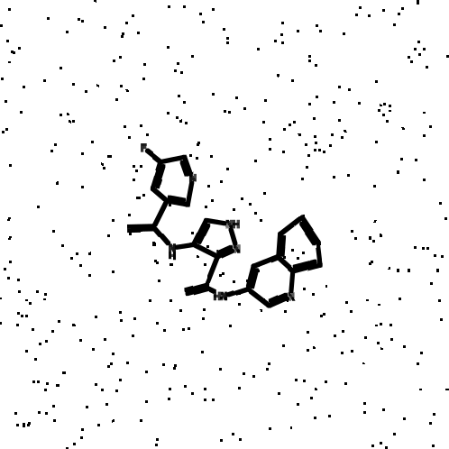 C=C(Nc1c[nH]nc1C(=C)Nc1cnc2ccccc2c1)c1cncc(F)c1